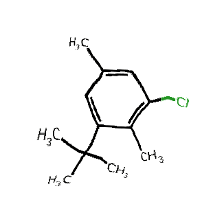 Cc1cc(Cl)c(C)c(C(C)(C)C)c1